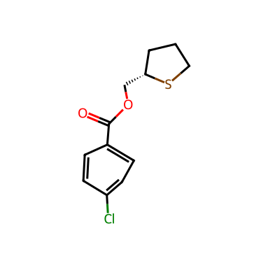 O=C(OC[C@@H]1CCCS1)c1ccc(Cl)cc1